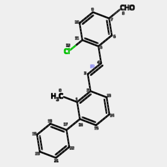 Cc1c(/C=C/c2cc(C=O)ccc2Cl)cccc1-c1ccccc1